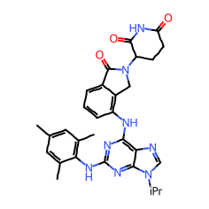 Cc1cc(C)c(Nc2nc(Nc3cccc4c3CN(C3CCC(=O)NC3=O)C4=O)c3ncn(C(C)C)c3n2)c(C)c1